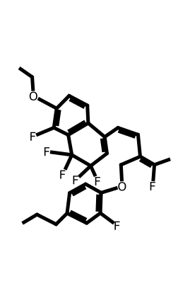 CCCc1ccc(OCC(/C=C\C2=CC(F)(F)C(F)(F)c3c2ccc(OCC)c3F)=C(/C)F)c(F)c1